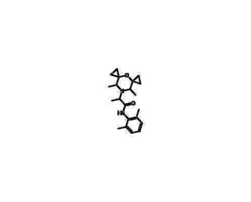 Cc1cccc(C)c1NC(=O)C(C)N1C(C)C2(CC2)OC2(CC2)C1C